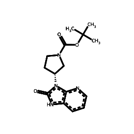 CC(C)(C)OC(=O)N1CC[C@@H](n2c(=O)[nH]c3cccnc32)C1